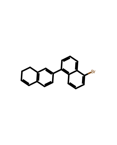 Brc1cccc2c(-c3ccc4c(c3)CCC=C4)cccc12